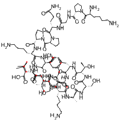 CC[C@H](C)[C@H](NC(=O)[C@H](CC(C)C)NC(=O)[C@H](CC(C)C)NC(=O)[C@H](CCCCN)NC(=O)[C@@H]1CCCN1C(=O)[C@@H]1CCCN1C(=O)[C@H](CCC(N)=O)NC(=O)CNC(=O)[C@@H]1CCCN1C(=O)[C@@H](N)CCCCN)C(=O)N[C@@H](Cc1ccc(O)cc1)C(=O)N[C@@H](CCCCN)C(=O)N[C@@H](C)C(=O)N[C@@H](CO)C(=O)N[C@H](C(=O)N[C@@H](CC(C)C)C(=O)N[C@@H](C)C(=O)N[C@@H](CO)C(=O)NCC(=O)N[C@H](C(=O)O)C(C)C)[C@@H](C)O